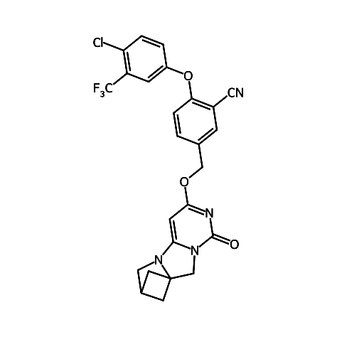 N#Cc1cc(COc2cc3n(c(=O)n2)CC24CC(CN32)C4)ccc1Oc1ccc(Cl)c(C(F)(F)F)c1